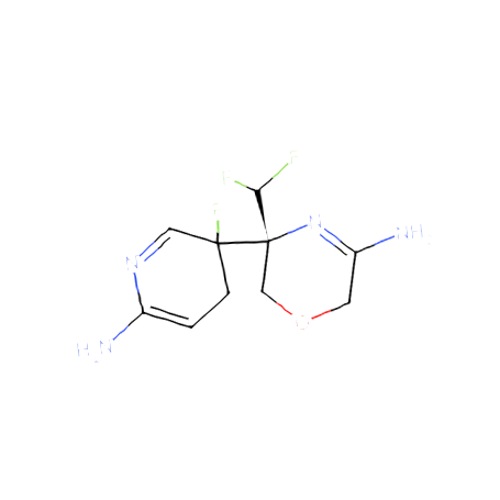 NC1=CCC(F)([C@@]2(C(F)F)COCC(N)=N2)C=N1